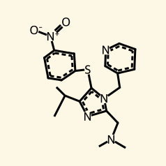 CC(C)c1nc(CN(C)C)n(Cc2cccnc2)c1Sc1cccc([N+](=O)[O-])c1